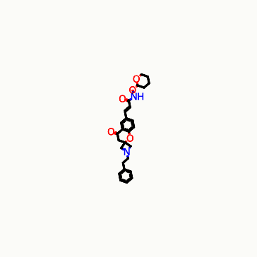 O=C(/C=C/c1ccc2c(c1)C(=O)CC1(CN(CCc3ccccc3)C1)O2)NOC1CCCCO1